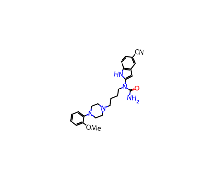 COc1ccccc1N1CCN(CCCCN(C(N)=O)c2cc3cc(C#N)ccc3[nH]2)CC1